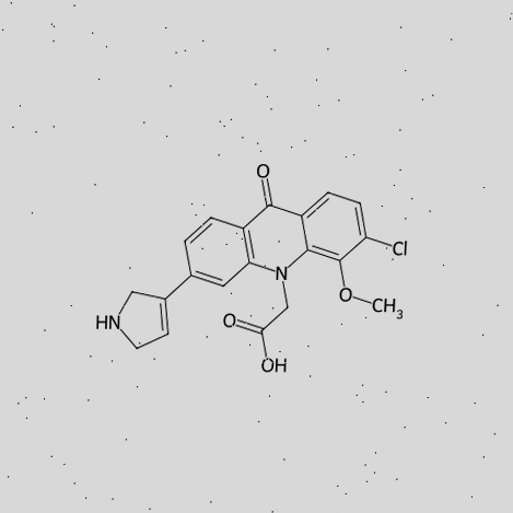 COc1c(Cl)ccc2c(=O)c3ccc(C4=CCNC4)cc3n(CC(=O)O)c12